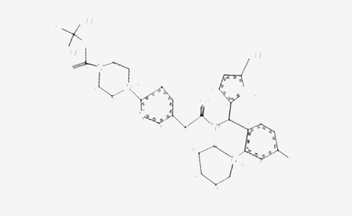 Cc1ccc(C(NC(=O)Cc2ccc(N3CCN(C(=O)OC(C)(C)C)CC3)nc2)c2ccc(C)o2)c(N2CCCCC2)c1